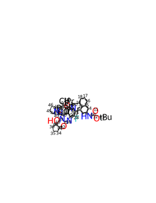 CC1Oc2nc(-c3cc(NC(=O)OC(C)(C)C)cc4cccc(C#C[Si](C(C)C)(C(C)C)C(C)C)c34)c(F)c3nc(O[C@@H]4CCC[C@H]4O)nc(c23)N2CC3CCC(C12)N3C(=O)O